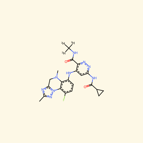 [2H]C([2H])([2H])NC(=O)c1nnc(NC(=O)C2CC2)cc1Nc1ccc(F)c2c1N(C)Cc1nc(C)nn1-2